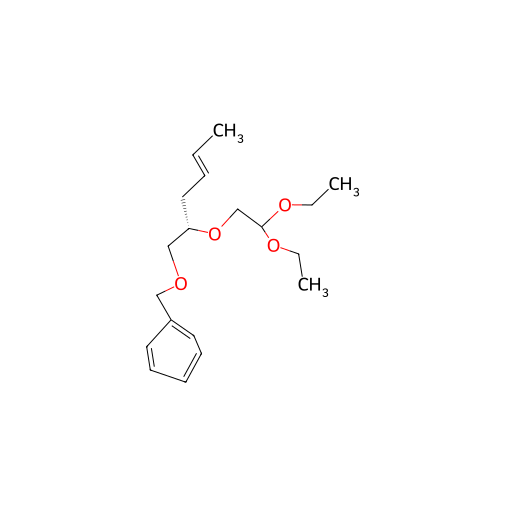 CC=CC[C@@H](COCc1ccccc1)OCC(OCC)OCC